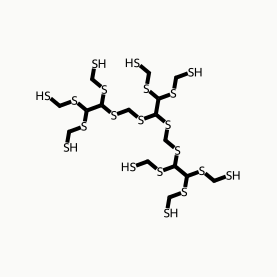 SCSC(SCS)C(SCS)SCSC(SCSC(SCS)C(SCS)SCS)C(SCS)SCS